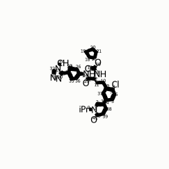 CC(C)n1cc(-c2ccc(Cl)c(CC[C@H](NC(=O)OC3CCCC3)C(=O)Nc3ccc(-c4nncn4C)cc3)c2)ccc1=O